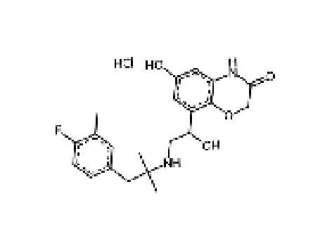 Cc1cc(CC(C)(C)NCC(O)c2cc(O)cc3c2OCC(=O)N3)ccc1F.Cl